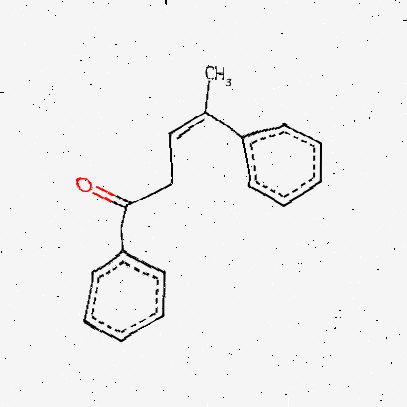 CC(=CCC(=O)c1ccccc1)c1ccccc1